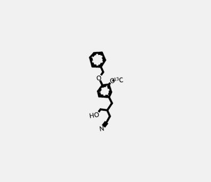 [13CH3]Oc1cc(CC(CO)CC#N)ccc1OCc1ccccc1